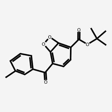 Cc1cccc(C(=O)c2ccc(C(=O)OC(C)(C)C)c3ooc23)c1